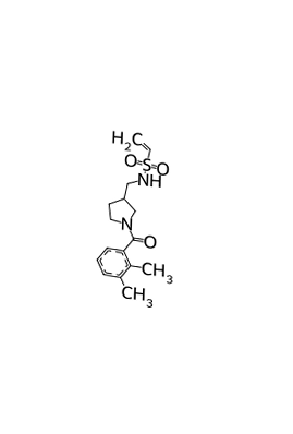 C=CS(=O)(=O)NCC1CCN(C(=O)c2cccc(C)c2C)C1